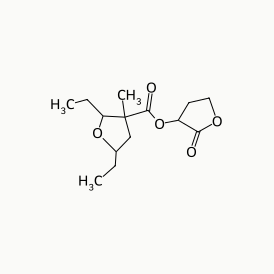 CCC1CC(C)(C(=O)OC2CCOC2=O)C(CC)O1